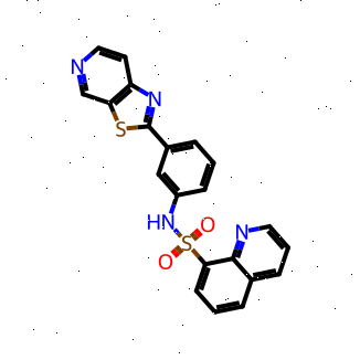 O=S(=O)(Nc1cccc(-c2nc3ccncc3s2)c1)c1cccc2cccnc12